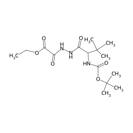 CCOC(=O)C(=O)NNC(=O)C(NC(=O)OC(C)(C)C)C(C)(C)C